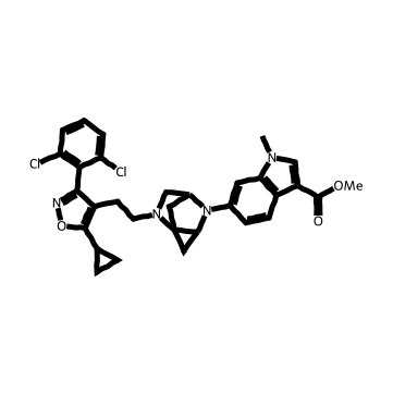 COC(=O)c1cn(C)c2cc(N3C4CN(CCc5c(-c6c(Cl)cccc6Cl)noc5C5CC5)C5(C4)CC35)ccc12